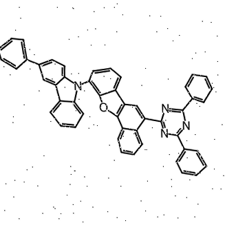 c1ccc(-c2ccc3c(c2)c2ccccc2n3-c2cccc3c2oc2c4ccccc4c(-c4nc(-c5ccccc5)nc(-c5ccccc5)n4)cc32)cc1